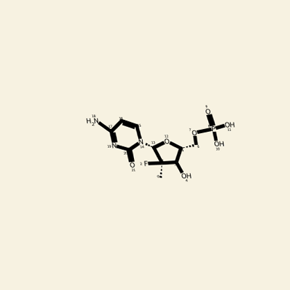 C[C@@]1(F)C(O)[C@@H](COP(=O)(O)O)O[C@H]1n1ccc(N)nc1=O